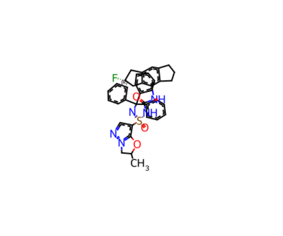 CC1Cn2ncc(S(=O)(=NC(c3ccccc3)(c3ccccc3)c3ccccc3)NC(=O)Nc3c4c(cc5c3C[C@H](F)C5)CCC4)c2O1